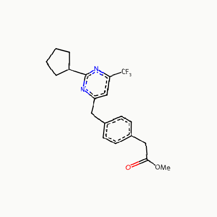 COC(=O)Cc1ccc(Cc2cc(C(F)(F)F)nc(C3CCCC3)n2)cc1